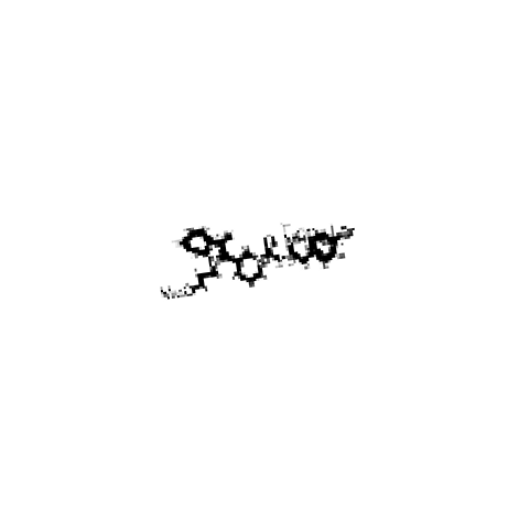 COCCCn1c(C2CCCN(C(=O)C[C@@H](Cc3ccc(Br)cc3)NC(=O)O)C2)c(C)c2ccccc21